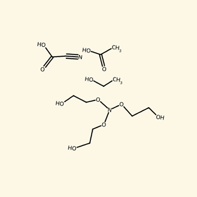 CC(=O)O.CCO.N#CC(=O)O.OCCON(OCCO)OCCO